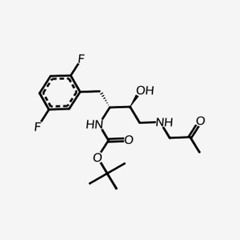 CC(=O)CNC[C@H](O)[C@@H](Cc1cc(F)ccc1F)NC(=O)OC(C)(C)C